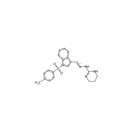 Cc1ccc(S(=O)(=O)n2cc(/C=N/NC3=NCCCN3)c3ccccc32)cc1